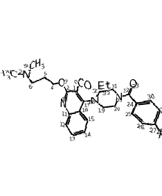 CCOC(=O)c1c(OCCCN(C)C)nc2ccccc2c1N1CCN(C(=O)c2ccc(F)cc2)CC1